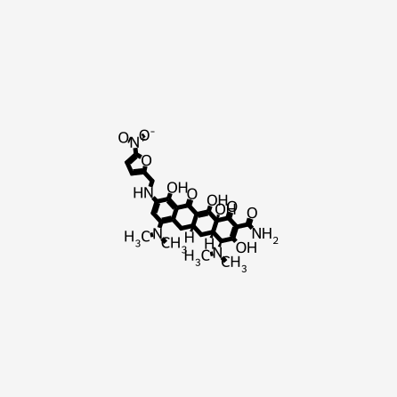 CN(C)c1cc(NCc2ccc([N+](=O)[O-])o2)c(O)c2c1C[C@H]1C[C@H]3[C@H](N(C)C)C(O)=C(C(N)=O)C(=O)[C@@]3(O)C(O)=C1C2=O